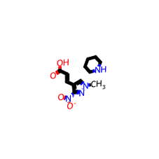 C1CCNCC1.Cn1cc(C=CC(=O)O)c([N+](=O)[O-])n1